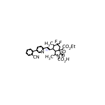 CCOC(=O)CC12CC(F)(F)C(C)C(/C=C/c3ccc(-c4ccccc4C#N)cn3)C1C(C)N(C(=O)O)S2(=O)=O